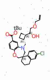 C=CCOC[C@H](O)[C@@H]1CC[C@H]1CN1C[C@@]2(CCCc3cc(Cl)ccc32)COc2ccc(C(=O)OC(C)(C)C)cc21